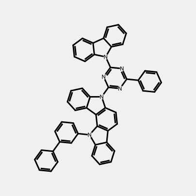 c1ccc(-c2cccc(-n3c4ccccc4c4ccc5c(c6ccccc6n5-c5nc(-c6ccccc6)nc(-n6c7ccccc7c7ccccc76)n5)c43)c2)cc1